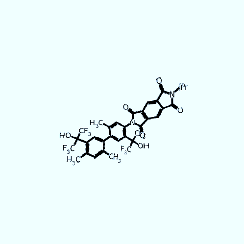 Cc1cc(C)c(C(O)(C(F)(F)F)C(F)(F)F)cc1-c1cc(C(O)(C(F)(F)F)C(F)(F)F)c(-n2c(=O)c3cc4c(=O)n(C(C)C)c(=O)c4cc3c2=O)cc1C